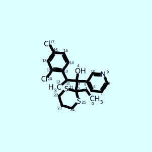 CCC1(C(O)(c2cccnc2)C(C)c2ccc(Cl)cc2Cl)SCCCS1